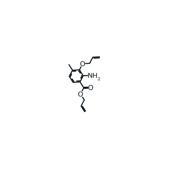 C=CCOC(=O)c1ccc(C)c(OCC=C)c1N